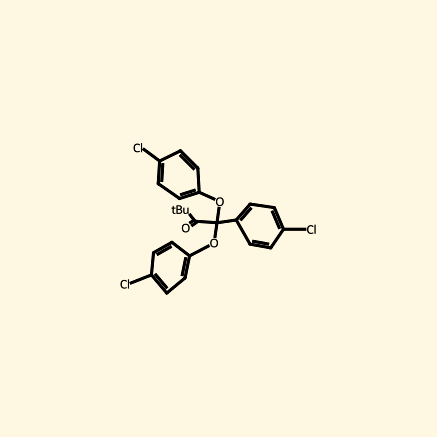 CC(C)(C)C(=O)C(Oc1ccc(Cl)cc1)(Oc1ccc(Cl)cc1)c1ccc(Cl)cc1